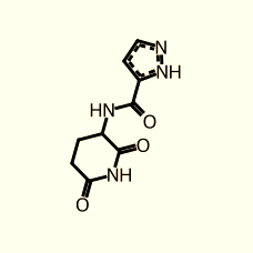 O=C1CCC(NC(=O)c2ccn[nH]2)C(=O)N1